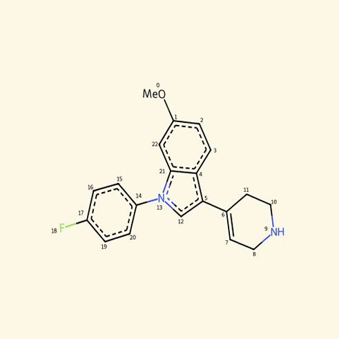 COc1ccc2c(C3=CCNCC3)cn(-c3ccc(F)cc3)c2c1